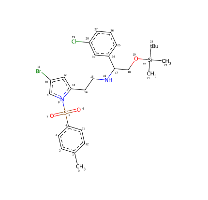 Cc1ccc(S(=O)(=O)n2cc(Br)cc2CCNC(CO[Si](C)(C)C(C)(C)C)c2cccc(Cl)c2)cc1